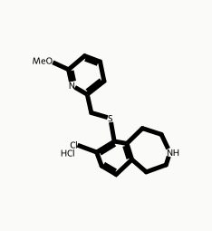 COc1cccc(CSc2c(Cl)ccc3c2CCNCC3)n1.Cl